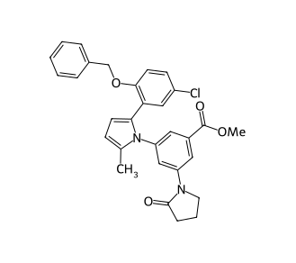 COC(=O)c1cc(N2CCCC2=O)cc(-n2c(C)ccc2-c2cc(Cl)ccc2OCc2ccccc2)c1